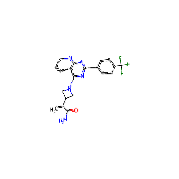 C=C(C(N)=O)C1CN(c2nc(-c3ccc(C(F)(F)F)cc3)nc3ncccc23)C1